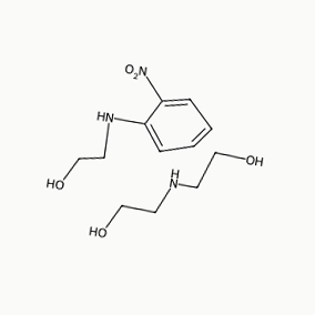 O=[N+]([O-])c1ccccc1NCCO.OCCNCCO